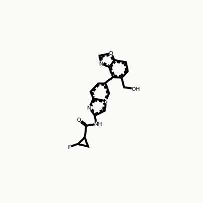 O=C(Nc1cn2cc(-c3c(CO)ccc4ocnc34)ccc2n1)C1CC1F